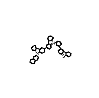 c1cc(-c2ccc3sc4ccccc4c3c2)cc(-n2c3ccccc3c3cc(-c4ccc5c(c4)c4ccccc4n5-c4ccc5ccccc5c4)ccc32)c1